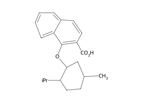 CC1CCC(C(C)C)C(Oc2c(C(=O)O)ccc3ccccc23)C1